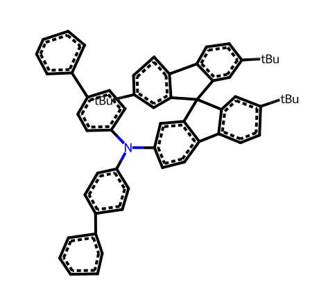 CC(C)(C)c1ccc2c(c1)C1(c3cc(N(c4ccc(-c5ccccc5)cc4)c4ccc(-c5ccccc5)cc4)ccc3-2)c2cc(C(C)(C)C)ccc2-c2ccc(C(C)(C)C)cc21